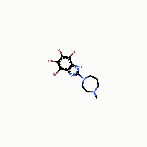 CN1CCCN(c2nc3c(Br)c(Br)c(Br)c(Br)c3[nH]2)CC1